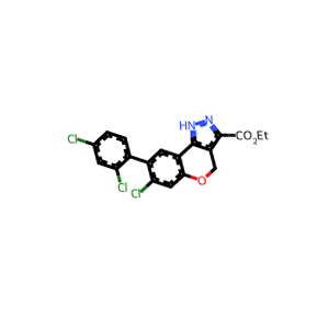 CCOC(=O)c1n[nH]c2c1COc1cc(Cl)c(-c3ccc(Cl)cc3Cl)cc1-2